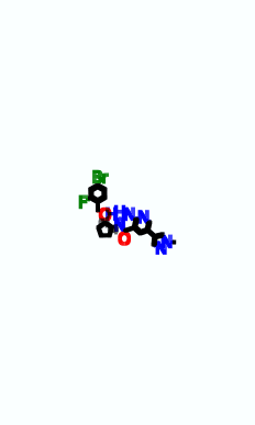 Cn1cc(-c2cnc(N)c(C(=O)N[C@H]3CCC[C@@H]3OCc3ccc(Br)cc3F)c2)cn1